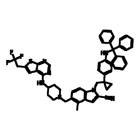 Cc1c(CN2CCC(Nc3ncnc4sc(CC(F)(F)F)cc34)CC2)ccc2c1cc(C#N)n2CC1(c2ccc(NC(c3ccccc3)(c3ccccc3)c3ccccc3)nc2)CC1